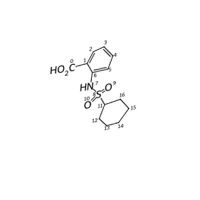 O=C(O)c1ccccc1NS(=O)(=O)C1CCCCC1